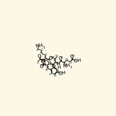 CC(=O)NC(CCCCN)C(=O)N(C(=O)C(NC(=O)C(N)CCC(=O)O)C(C)C)C(Cc1ccc(O)cc1)C(=O)O